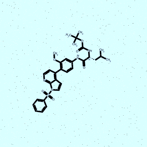 COc1cc(NC(=O)[C@@H](CC(C)C)NC(=O)OC(C)(C)C)ccc1-c1ccnc2c1ccn2S(=O)(=O)c1ccccc1